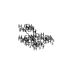 CC(C)CC(C)Nc1nc(C(C)N(CCCCCCNC2CC(C)(C)NC(C)(C)C2)C2CC(C)(C)NC(C)(C)C2)nc(N(CCCCCCN(C(C)C)C2CC(C)(C)NC(C)(C)C2)C2CC(C)(C)NC(C)(C)C2)n1